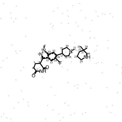 Cn1nc(C2CCC(=O)NC2=O)c2cc(F)c(C3CCN(C[C@H]4CCNCC4(C)C)CC3)cc21